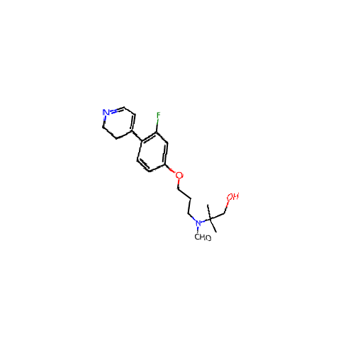 CC(C)(CO)N(C=O)CCCOc1ccc(C2=CC=NCC2)c(F)c1